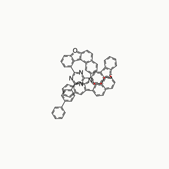 c1ccc(-c2ccc(-c3nc(-c4ccc5sc6ccccc6c5c4)nc(-c4cccc5oc6ccc7ccc(-n8c9cc%10ccccc%10cc9c9ccc%10ccccc%10c98)cc7c6c45)n3)cc2)cc1